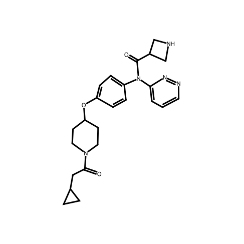 O=C(CC1CC1)N1CCC(Oc2ccc(N(C(=O)C3CNC3)c3cccnn3)cc2)CC1